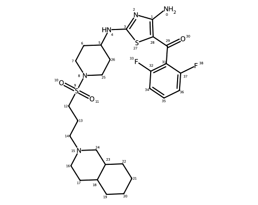 Nc1nc(NC2CCN(S(=O)(=O)CCCN3CCC4CCCCC4C3)CC2)sc1C(=O)c1c(F)cccc1F